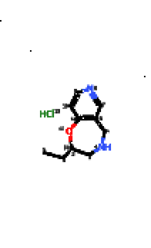 CC[C@@H]1CNCc2cnccc2O1.Cl